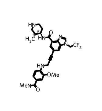 CNC(=O)c1ccc(NCC#Cc2cc(C(=O)N[C@@H]3CCNC[C@H]3C)c3ncn(CC(F)(F)F)c3c2)c(OC)c1